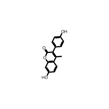 Cc1c(-c2ccc(O)cc2)c(=O)oc2cc(O)ccc12